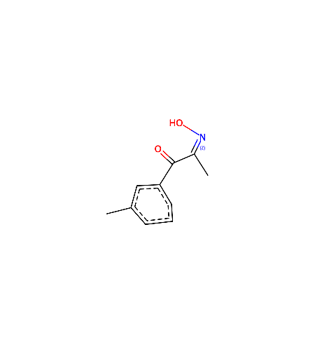 C/C(=N/O)C(=O)c1cccc(C)c1